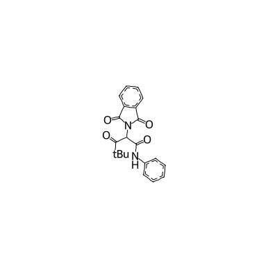 CC(C)(C)C(=O)C(C(=O)Nc1ccccc1)N1C(=O)c2ccccc2C1=O